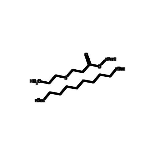 CCCCCCCCCCCCCCCCCCCCCCCCCCCC.CCCCCOC(=O)CCSCCC(=O)O